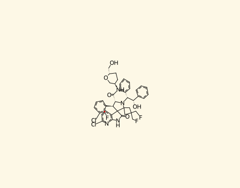 O=C(N[C@@H]1CC[C@@H](CO)OC1)[C@H]1[C@H](c2cccc(Cl)c2F)C2(C(=O)Nc3nc(Cl)ccc32)C2(CC(CF)(CF)C2)N1[C@H](c1ccccc1)[C@@H](O)c1ccccc1